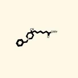 COC(=O)CCCCCC1(C#N)CCN(Cc2ccccc2)CC1